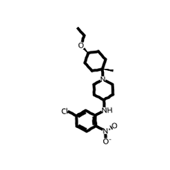 CCO[C@H]1CC[C@](C)(N2CCC(Nc3cc(Cl)ccc3[N+](=O)[O-])CC2)CC1